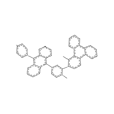 Cc1ccc(-c2c3ccccc3c(-c3ccncc3)c3ccccc23)cc1-c1ccc2c3ccccc3c3ccccc3c2c1C